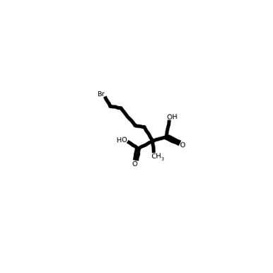 CC(CCCCBr)(C(=O)O)C(=O)O